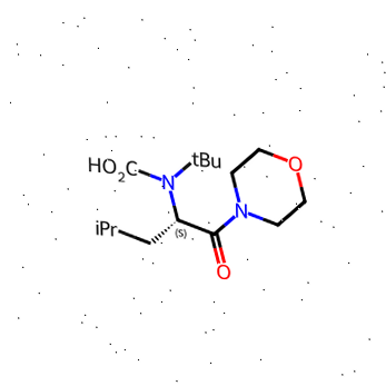 CC(C)C[C@@H](C(=O)N1CCOCC1)N(C(=O)O)C(C)(C)C